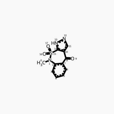 CN1c2ccccc2C(=O)c2cn[nH]c2S1(=O)=O